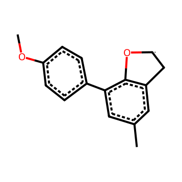 COc1ccc(-c2cc(C)cc3c2O[CH]C3)cc1